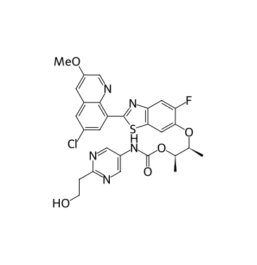 COc1cnc2c(-c3nc4cc(F)c(O[C@@H](C)[C@@H](C)OC(=O)Nc5cnc(CCO)nc5)cc4s3)cc(Cl)cc2c1